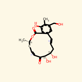 Cc1c(CO)cc2c(c1O)C(=O)O[C@@H](C)C/C=C\C(=O)[C@@H](O)[C@@H](O)C/C=C/2